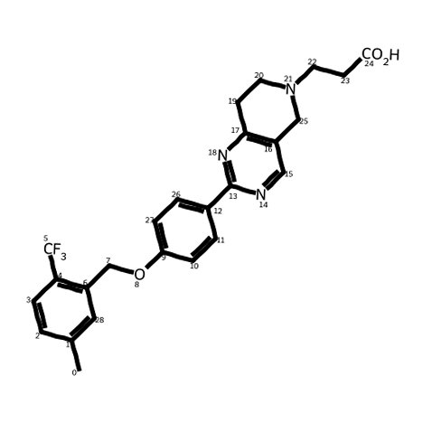 Cc1ccc(C(F)(F)F)c(COc2ccc(-c3ncc4c(n3)CCN(CCC(=O)O)C4)cc2)c1